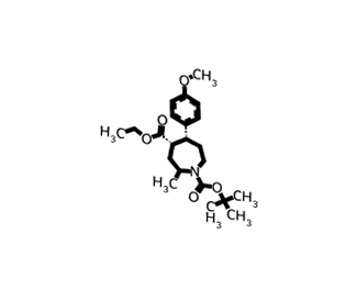 CCOC(=O)[C@H]1CC(C)N(C(=O)OC(C)(C)C)CC[C@H]1c1ccc(OC)cc1